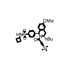 CCCC[C@H]1Cc2cc(OC)ccc2[C@H](c2ccc(S(=O)(=O)NC3CCC3)cc2)N1C(=O)C#C[Si](C)(C)C